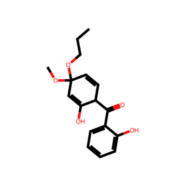 CCCOC1(OC)C=CC(C(=O)c2ccccc2O)C(O)=C1